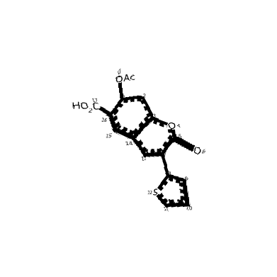 CC(=O)Oc1cc2oc(=O)c(-c3cccs3)cc2cc1C(=O)O